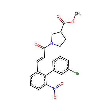 COC(=O)C1CCN(C(=O)/C=C/c2cc[c]c([N+](=O)[O-])c2-c2cccc(Br)c2)C1